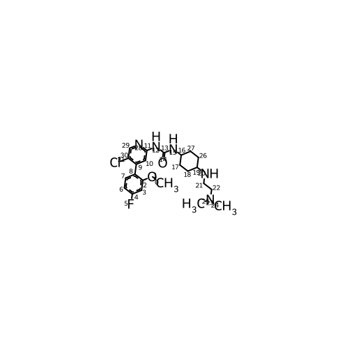 COc1cc(F)ccc1-c1cc(NC(=O)NC2CCC(NCCN(C)C)CC2)ncc1Cl